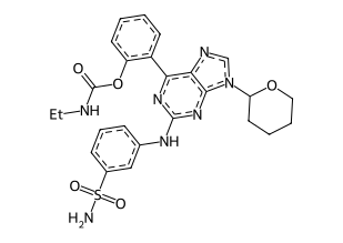 CCNC(=O)Oc1ccccc1-c1nc(Nc2cccc(S(N)(=O)=O)c2)nc2c1ncn2C1CCCCO1